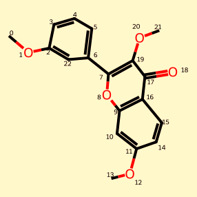 COc1cccc(-c2oc3cc(OC)ccc3c(=O)c2OC)c1